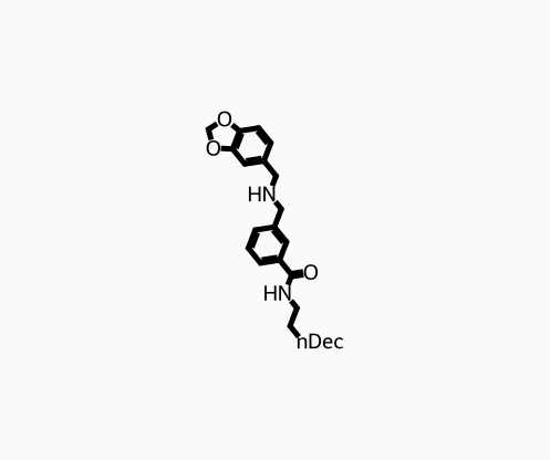 CCCCCCCCCCCCNC(=O)c1cccc(CNCc2ccc3c(c2)OCO3)c1